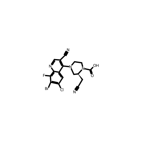 N#CC[C@H]1CN(c2c(C#N)cnc3c(F)c(Br)c(Cl)cc23)CCN1C(=O)O